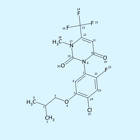 CC(C)COc1cc(-n2c(=O)cc(C(F)(F)F)n(C)c2=O)c(F)cc1Cl